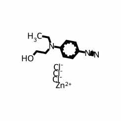 CCN(CCO)c1ccc([N+]#N)cc1.[Cl-].[Cl-].[Cl-].[Zn+2]